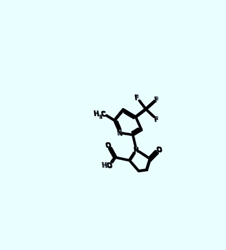 Cc1cc(C(F)(F)F)cc(N2C(=O)CCC2C(=O)O)n1